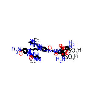 CCn1nc(C)cc1CNc1nc2cc(C(=O)NCCNC(=O)c3ccc4c(c3)C(=O)OC43c4ccc(N)c(S(=O)(=O)O)c4Oc4c3ccc(N)c4S(=O)(=O)O)ccc2n1CCCCn1c(NC(=O)c2cc(C)nn2CC)nc2cc(C(N)=O)ccc21